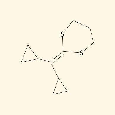 C1CSC(=C(C2CC2)C2CC2)SC1